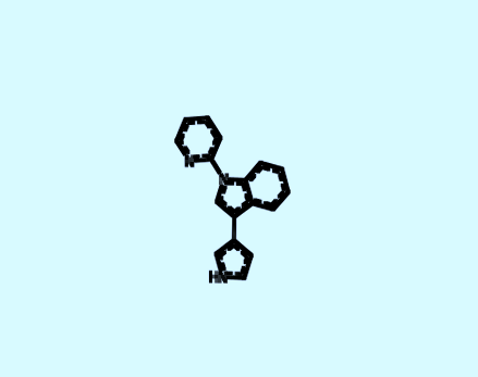 c1ccc(-n2cc(-c3cc[nH]c3)c3ccccc32)nc1